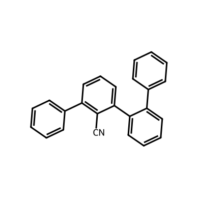 N#Cc1c(-c2ccccc2)cccc1-c1ccccc1-c1ccccc1